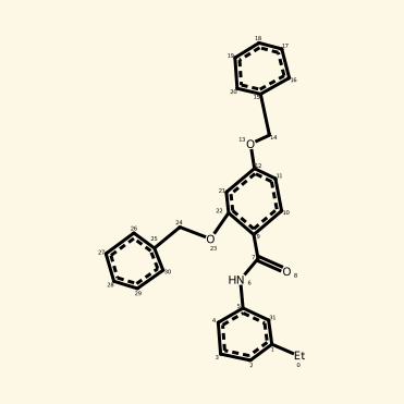 CCc1cccc(NC(=O)c2ccc(OCc3ccccc3)cc2OCc2ccccc2)c1